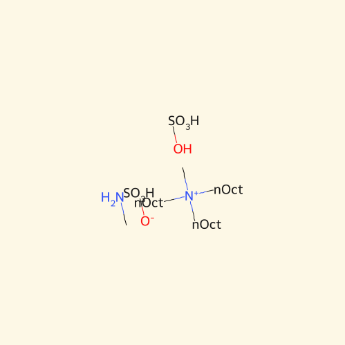 CCCCCCCC[N+](C)(CCCCCCCC)CCCCCCCC.CN.O=S(=O)(O)O.O=S(=O)([O-])O